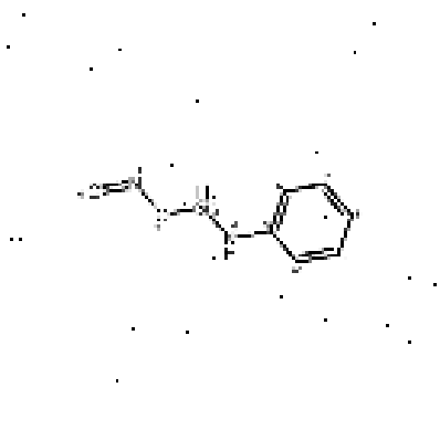 O=NO[SiH2]Nc1ccccc1